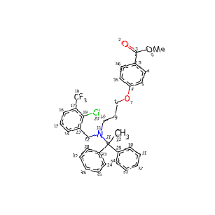 COC(=O)c1ccc(OCCCN(Cc2cccc(C(F)(F)F)c2Cl)C(C)(c2ccccc2)c2ccccc2)cc1